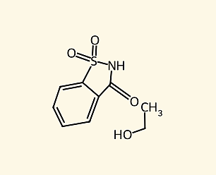 CCO.O=C1NS(=O)(=O)c2ccccc21